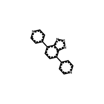 c1cc(-c2ccc(-c3ccncc3)c3nsnc23)ccn1